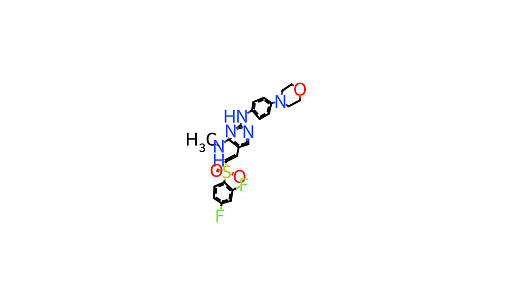 CNc1nc(Nc2ccc(N3CCOCC3)cc2)ncc1C=CS(=O)(=O)c1ccc(F)cc1F